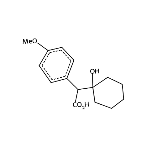 COc1ccc(C(C(=O)O)C2(O)CCCCC2)cc1